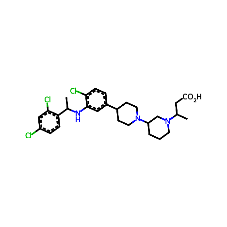 CC(Nc1cc(C2CCN(C3CCCN(C(C)CC(=O)O)C3)CC2)ccc1Cl)c1ccc(Cl)cc1Cl